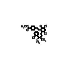 COC(=O)c1ccc(CCn2c(CCN(C)C(C)c3ccccc3Cl)c(Cl)cc(Cl)c2=O)cc1